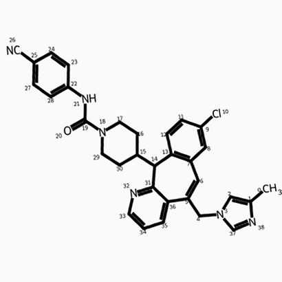 Cc1cn(CC2=Cc3cc(Cl)ccc3C(C3CCN(C(=O)Nc4ccc(C#N)cc4)CC3)c3ncccc32)cn1